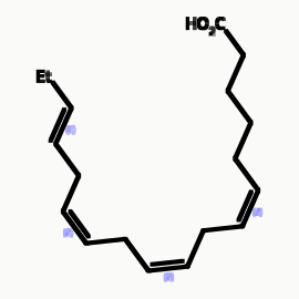 CC/C=C/C/C=C\C/C=C\C/C=C\CCCCC(=O)O